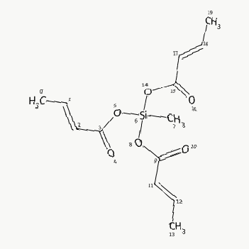 CC=CC(=O)O[Si](C)(OC(=O)C=CC)OC(=O)C=CC